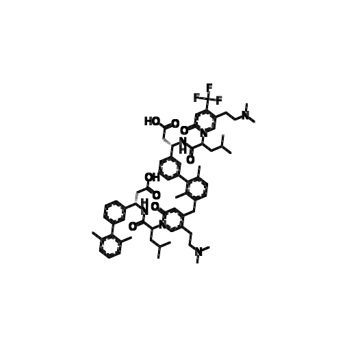 Cc1cccc(C)c1-c1cccc([C@H](CC(=O)O)NC(=O)C(CC(C)C)n2cc(CCN(C)C)c(Cc3ccc(C)c(-c4cccc([C@H](CC(=O)O)NC(=O)C(CC(C)C)n5cc(CCN(C)C)c(C(F)(F)F)cc5=O)c4)c3C)cc2=O)c1